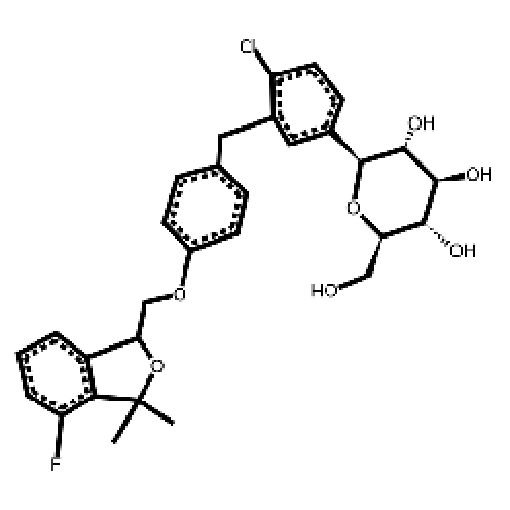 CC1(C)OC(COc2ccc(Cc3cc([C@@H]4O[C@H](CO)[C@@H](O)[C@H](O)[C@H]4O)ccc3Cl)cc2)c2cccc(F)c21